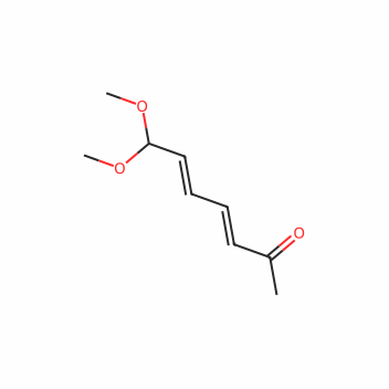 COC(/C=C/C=C/C(C)=O)OC